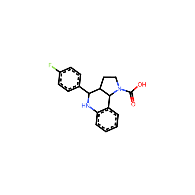 O=C(O)N1CCC2C(c3ccc(F)cc3)Nc3ccccc3C21